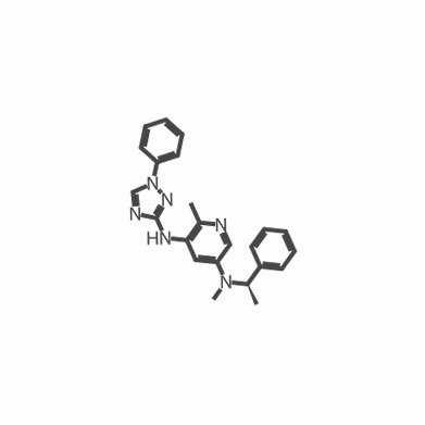 Cc1ncc(N(C)[C@H](C)c2ccccc2)cc1Nc1ncn(-c2ccccc2)n1